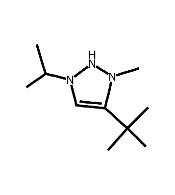 CC(C)N1C=C(C(C)(C)C)N(C)N1